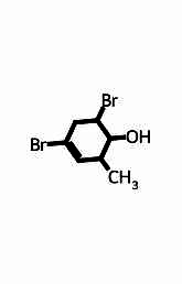 CC1C=C(Br)CC(Br)C1O